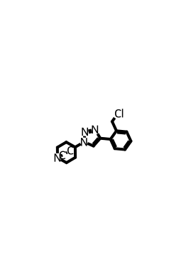 ClCc1ccccc1-c1cn(C23CCN(CC2)CC3)nn1